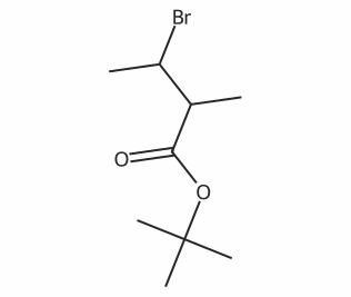 CC(Br)C(C)C(=O)OC(C)(C)C